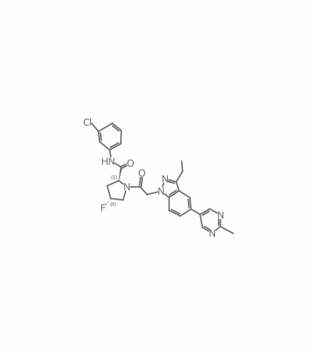 CCc1nn(CC(=O)N2C[C@H](F)C[C@H]2C(=O)Nc2cccc(Cl)c2)c2ccc(-c3cnc(C)nc3)cc12